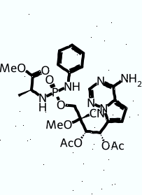 COC(=O)[C@H](C)NP(=O)(Nc1ccccc1)OC[C@@](C#N)(OC)[C@@H](OC(C)=O)[C@@H](OC(C)=O)c1ccc2c(N)ncnn12